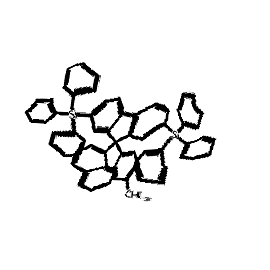 Cc1ccc(C2(c3cccc4ccccc34)c3cc([Si](c4ccccc4)(c4ccccc4)c4ccccc4)ccc3-c3ccc([Si](c4ccccc4)(c4ccccc4)c4ccccc4)cc32)cc1